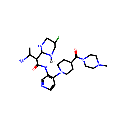 CC(N)C(C(=O)Nc1cnccc1N1CCC(C(=O)N2CCN(C)CC2)CC1)C1NCC(F)CN1N=O